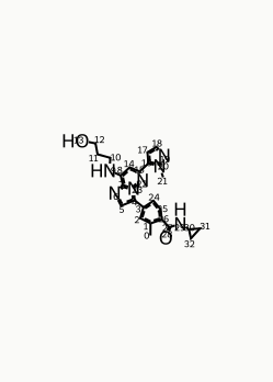 Cc1cc(-c2cnc3c(NCCCO)cc(-c4ccnn4C)nn23)ccc1C(=O)NC1CC1